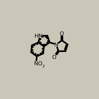 O=C1C=CC(=O)N1c1c[nH]c2ccc([N+](=O)[O-])cc12